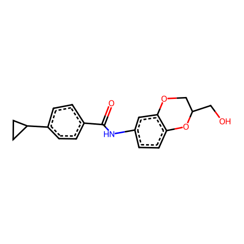 O=C(Nc1ccc2c(c1)OCC(CO)O2)c1ccc(C2CC2)cc1